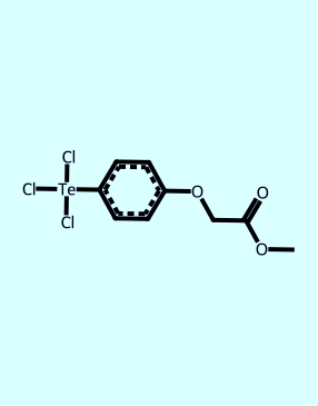 COC(=O)COc1ccc([Te](Cl)(Cl)Cl)cc1